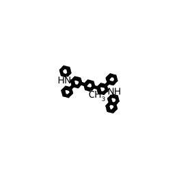 CC1=CC(C2C=CC(NC3C=CCCC3)=C(C3=CC=CCC3)C2)=CCC1C1=CCC(NC2=CCC3C=CC=CC3=C2)C(C2=CCCC=C2)=C1